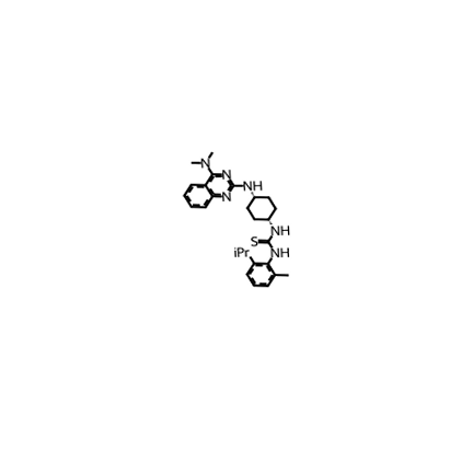 Cc1cccc(C(C)C)c1NC(=S)N[C@H]1CC[C@@H](Nc2nc(N(C)C)c3ccccc3n2)CC1